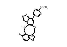 COc1ncc(-c2cc3c(n4cnnc24)NCc2c(F)ccc4c2[C@@H](CO4)CO3)cn1